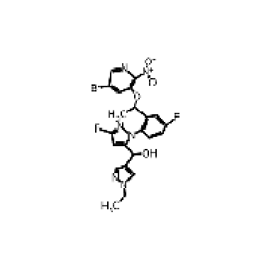 CCn1cc(C(O)c2cc(F)nn2-c2ccc(F)cc2C(C)Oc2cc(Br)cnc2[N+](=O)[O-])cn1